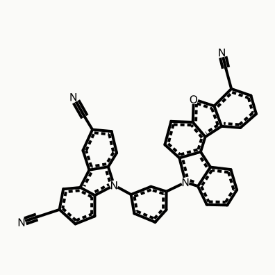 N#Cc1ccc2c(c1)c1cc(C#N)ccc1n2-c1cccc(-n2c3ccccc3c3c4c(ccc32)oc2c(C#N)cccc24)c1